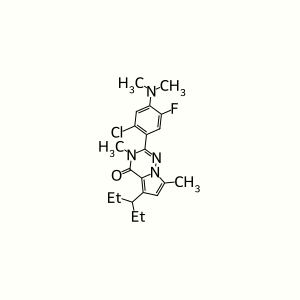 CCC(CC)c1cc(C)n2nc(-c3cc(F)c(N(C)C)cc3Cl)n(C)c(=O)c12